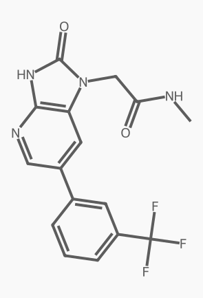 CNC(=O)Cn1c(=O)[nH]c2ncc(-c3cccc(C(F)(F)F)c3)cc21